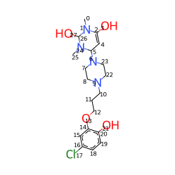 CN1C(O)=CC(N2CCN(CCCOc3cc(Cl)ccc3O)CC2)N(C)C1O